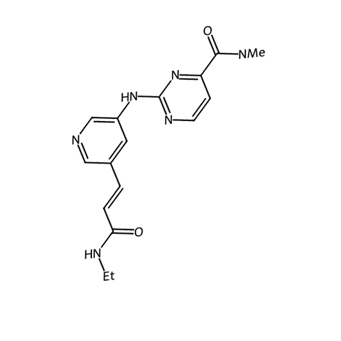 CCNC(=O)/C=C/c1cncc(Nc2nccc(C(=O)NC)n2)c1